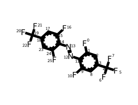 Fc1cc(C(F)(F)F)cc(F)c1/N=N/c1c(F)cc(C(F)(F)F)cc1F